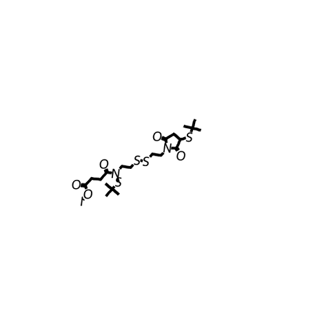 CC(C)(C)SC1CC(=O)N(CCSSCCN(SC(C)(C)C)C(=O)CCC(=O)OI)C1=O